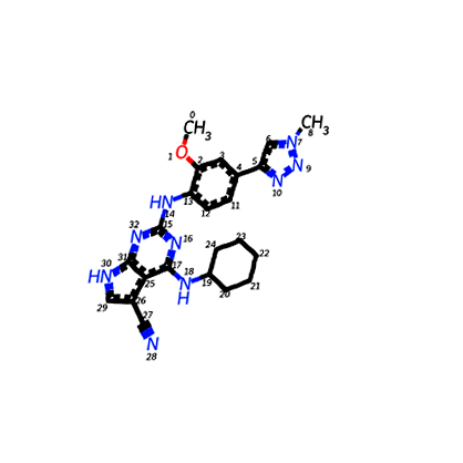 COc1cc(-c2cn(C)nn2)ccc1Nc1nc(NC2CCCCC2)c2c(C#N)c[nH]c2n1